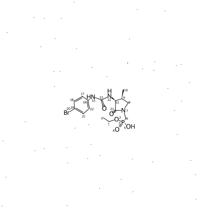 CCOP(=O)(O)CN1C[C@H](C)[C@H](NC(=O)Nc2ccc(Br)cc2)C1=O